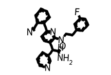 N#Cc1ccccc1-c1ccc(C(C(N)=O)c2cccnc2)c(NCCc2cccc(F)c2)n1